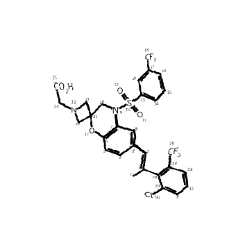 C/C(=C\c1ccc2c(c1)N(S(=O)(=O)c1cccc(C(F)(F)F)c1)CC1(CN(CC(=O)O)C1)O2)c1c(Cl)cccc1C(F)(F)F